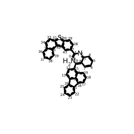 C=C(/N=C1/C=CC=C/C1=C(/N)c1ccc2c3c(cccc13)-c1ccccc1-2)c1ccc2sc3ccc4ccccc4c3c2c1